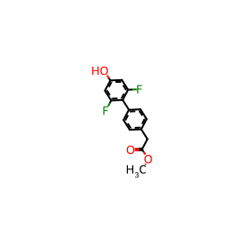 COC(=O)Cc1ccc(-c2c(F)cc(O)cc2F)cc1